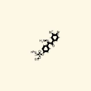 CCCSP(=O)(OCC)Oc1ccc(/C(=N\N)C(=O)c2ccc(Br)c(Br)c2)cc1